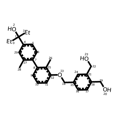 CCC(O)(CC)c1ccc(-c2cccc(OCc3ccc(CO)c(CO)c3)c2C)c(C)c1